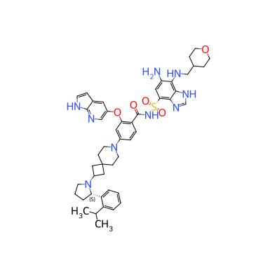 CC(C)c1ccccc1[C@@H]1CCCN1C1CC2(CCN(c3ccc(C(=O)NS(=O)(=O)c4cc(N)c(NCC5CCOCC5)c5[nH]cnc45)c(Oc4cnc5[nH]ccc5c4)c3)CC2)C1